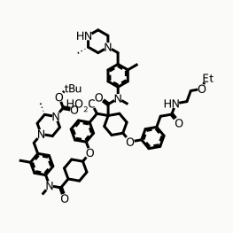 CCOCCNC(=O)Cc1cccc(OC2CCC(C(=O)N(C)c3ccc(CN4CCN[C@@H](C)C4)c(C)c3)(C(C(=O)O)c3cccc(OC4CCC(C(=O)N(C)c5ccc(CN6CCN(C(=O)OC(C)(C)C)[C@@H](C)C6)c(C)c5)CC4)c3)CC2)c1